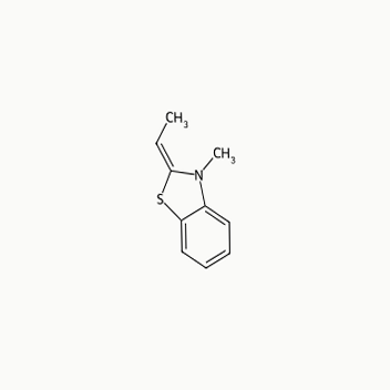 CC=C1Sc2ccccc2N1C